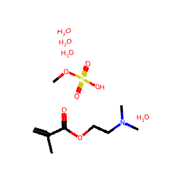 C=C(C)C(=O)OCCN(C)C.COS(=O)(=O)O.O.O.O.O